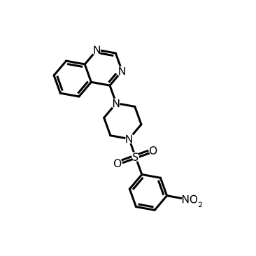 O=[N+]([O-])c1cccc(S(=O)(=O)N2CCN(c3ncnc4ccccc34)CC2)c1